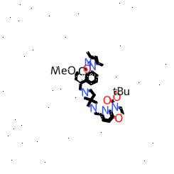 COC(=C=O)C[C@H](CN1CCC2(C1)CN(Cc1ccc3c(n1)N(C(=O)OC(C)(C)C)CCO3)C2)c1cccc(-n2nc(C)cc2C)c1